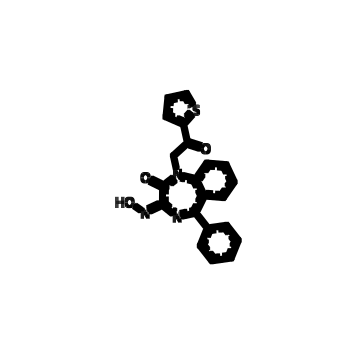 O=C(Cn1c(=O)c(=NO)nc(-c2ccccc2)c2ccccc21)c1cccs1